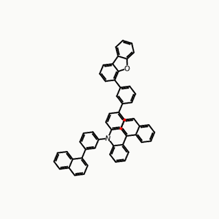 c1cc(-c2ccc(N(c3cccc(-c4cccc5ccccc45)c3)c3ccccc3-c3cccc4ccccc34)cc2)cc(-c2cccc3c2oc2ccccc23)c1